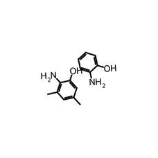 Cc1cc(C)c(N)c(O)c1.Nc1ccccc1O